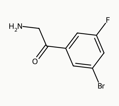 NCC(=O)c1cc(F)cc(Br)c1